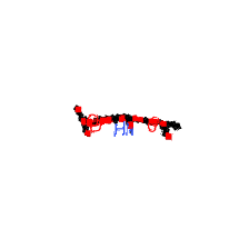 CCCCCC(CCCCC)CCOC(=O)CCCCCCCCCC(CCCCCCCCCC(=O)OCCC(CCCCC)CCCCC)CCNC